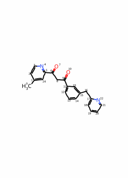 Cc1ccnc(C(=O)CC(=O)c2cccc(Cc3ccccn3)c2)c1